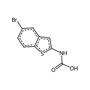 O=C(O)Nc1cc2cc(Br)ccc2s1